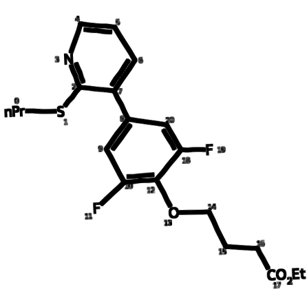 CCCSc1ncccc1-c1cc(F)c(OCCCC(=O)OCC)c(F)c1